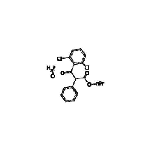 CCCOC(=O)C(C(=O)c1c(Cl)cccc1Cl)c1ccccc1.O=[PH3]